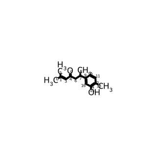 CC(C)=CC(=O)CC(C)c1ccc(C)c(O)c1